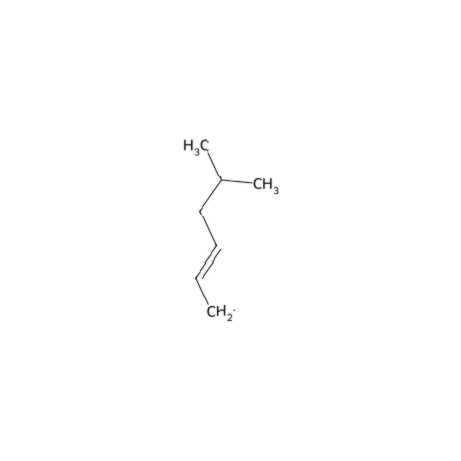 [CH2]C=CC[C](C)C